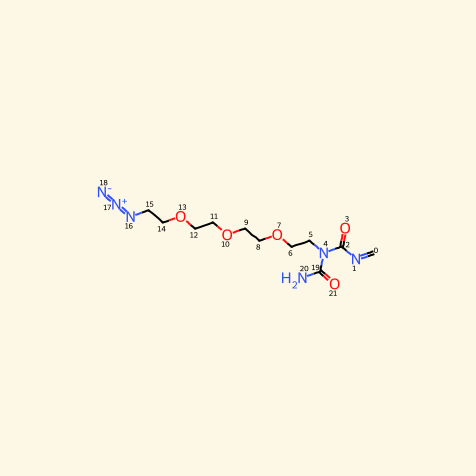 C=NC(=O)N(CCOCCOCCOCCN=[N+]=[N-])C(N)=O